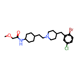 COCC(=O)NC1CCC(CCN2CCC(Cc3cc(Cl)ccc3Br)CC2)CC1